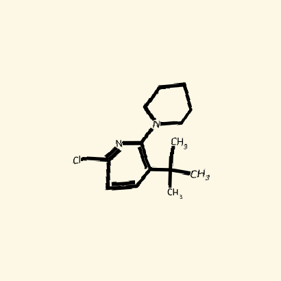 CC(C)(C)c1ccc(Cl)nc1N1CCCCC1